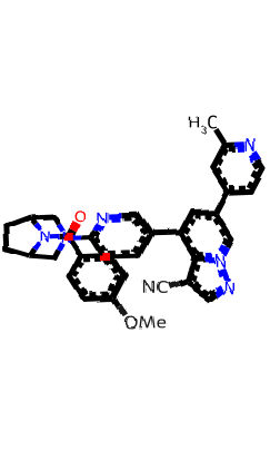 COc1ccc(C(=O)N2C3CCC2CN(c2ccc(-c4cc(-c5ccnc(C)c5)cn5ncc(C#N)c45)cn2)C3)cc1